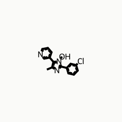 Cc1nc(-c2cccc(Cl)c2)n(O)c1-c1cccnc1